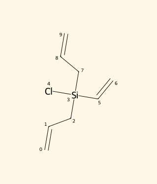 C=CC[Si](Cl)(C=C)CC=C